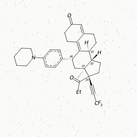 CCC(=O)[C@@]1(C#CC(F)(F)F)CC[C@H]2[C@@H]3CCC4=CC(=O)CCC4=C3[C@@H](c3ccc(N4CCCCC4)cc3)C[C@@]21C